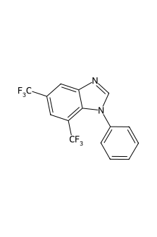 FC(F)(F)c1cc(C(F)(F)F)c2c(c1)ncn2-c1ccccc1